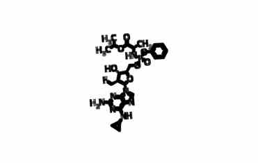 CC(C)OC(=O)[C@@H](C)N[P@@](=O)(OC[C@H]1O[C@@H](n2cnc3c(NC4CC4)nc(N)nc32)[C@@H](CF)[C@@H]1O)Oc1ccccc1